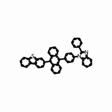 c1ccc(-c2nc3ccccc3n2-c2ccc(-c3c4ccccc4c(-c4ccc5c(c4)sc4ccccc45)c4ccccc34)cc2)cc1